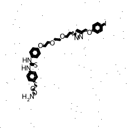 NOOSc1ccc(NC(=S)Nc2ccc(OCCOCCOCCn3cc(COc4ccc(I)cc4)nn3)cc2)cc1